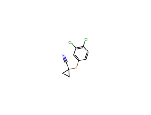 N#CC1(Sc2ccc(Cl)c(Cl)c2)CC1